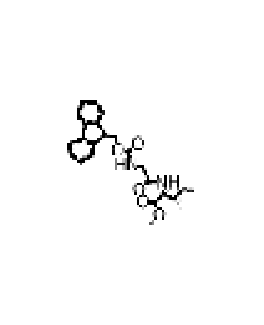 CC[C@H](C)[C@H](NC(=O)CNC(=O)OCC1c2ccccc2-c2ccccc21)C(=O)OC